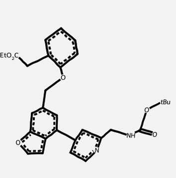 CCOC(=O)Cc1ccccc1OCc1cc(-c2ccnc(CNC(=O)OC(C)(C)C)c2)c2ccoc2c1